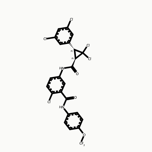 O=C(Nc1ccc(OC(F)(F)F)cc1)c1cc(NC(=O)[C@H]2[C@H](c3cc(Cl)cc(Cl)c3)C2(Cl)Cl)ccc1Cl